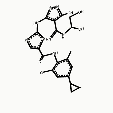 Cc1cc(C2CC2)cc(Cl)c1NC(=O)c1cnc(Nc2snc(O)c2C(=N)NC(O)CO)s1